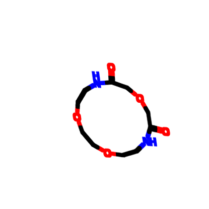 O=C1COCC(=O)NCCOCCOCCN1